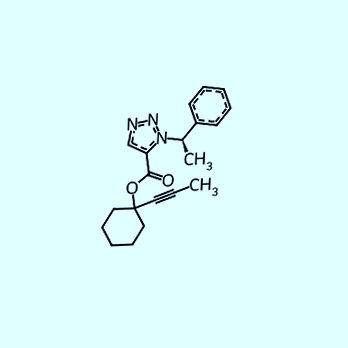 CC#CC1(OC(=O)c2cnnn2[C@H](C)c2ccccc2)CCCCC1